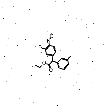 CCOC(=O)C(c1cccc(C)c1)c1ccc(N=O)c(F)c1